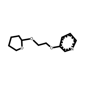 c1cncc(OCCOC2CCCCO2)c1